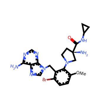 COc1ccc(Br)c(Cn2cnc3c(N)ncnc32)c1N1CC[C@](N)(C(=O)NC2CC2)C1